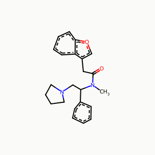 CN(C(=O)Cc1coc2ccccc12)C(CN1CCCC1)c1ccccc1